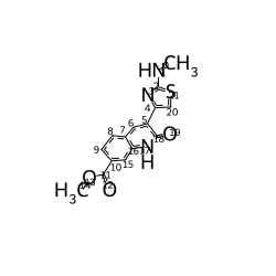 CNc1nc(-c2cc3ccc(C(=O)OC)cc3[nH]c2=O)cs1